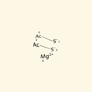 CC(=O)[S-].CC(=O)[S-].[Mg+2]